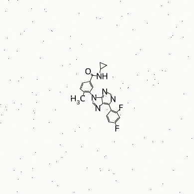 Cc1ccc(C(=O)NC2CC2)cc1-n1cnc2c(-c3ccc(F)cc3F)ncnc21